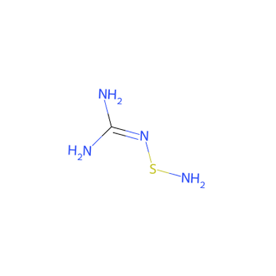 NSN=C(N)N